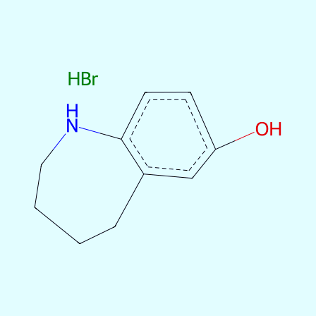 Br.Oc1ccc2c(c1)CCCCN2